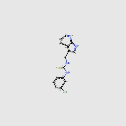 S=C(NCc1c[nH]c2ncccc12)Nc1cccc(Cl)c1